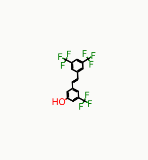 Oc1cc(/C=C/c2cc(C(F)(F)F)cc(C(F)(F)F)c2)cc(C(F)(F)F)c1